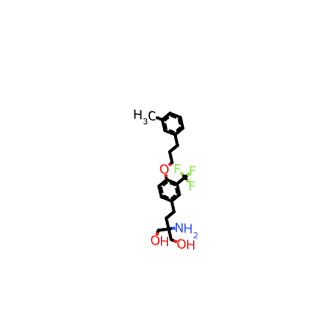 Cc1cccc(CCCOc2ccc(CCC(N)(CO)CO)cc2C(F)(F)F)c1